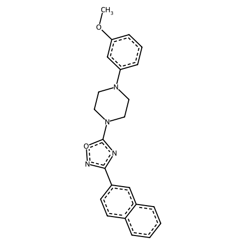 COc1cccc(N2CCN(c3nc(-c4ccc5ccccc5c4)no3)CC2)c1